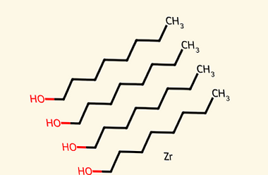 CCCCCCCCO.CCCCCCCCO.CCCCCCCCO.CCCCCCCCO.[Zr]